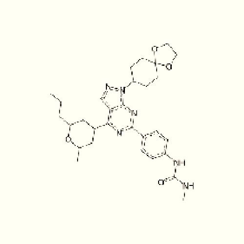 CCCC1CC(c2nc(-c3ccc(NC(=O)NC)cc3)nc3c2cnn3C2CCC3(CC2)OCCO3)CC(C)O1